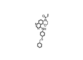 C=CC(=O)N1CCOc2c1ccc1ncnc(Nc3ccc(SCc4ccccc4)cc3)c21